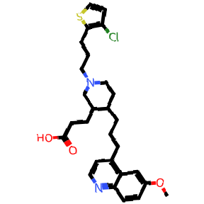 COc1ccc2nccc(CCCC3CCN(CCCc4sccc4Cl)CC3CCC(=O)O)c2c1